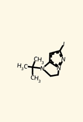 CC(C)(C)N1CCn2nc(I)cc21